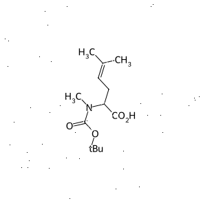 CC(C)=CCC(C(=O)O)N(C)C(=O)OC(C)(C)C